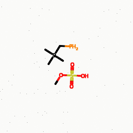 COS(=O)(=O)O.C[Si](C)(C)CP